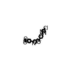 C[C@@]1(C2CCN(c3ncc(Cl)cn3)CC2)Cc2cc(-c3ccc(S(C)(=O)=O)cc3)ncc2O1